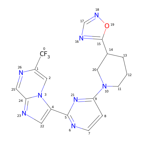 FC(F)(F)c1cn2c(-c3nccc(N4CCCC(c5ncno5)C4)n3)cnc2cn1